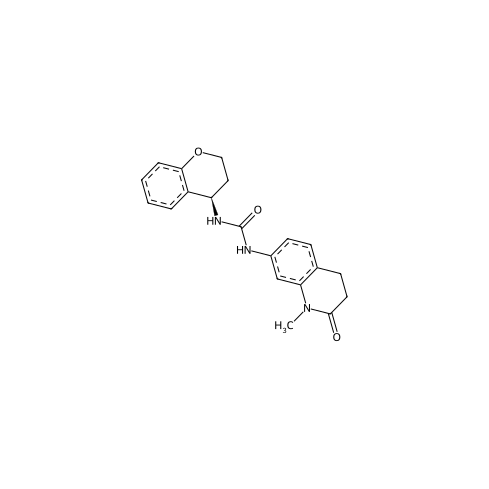 CN1C(=O)CCc2ccc(NC(=O)N[C@@H]3CCOc4ccccc43)cc21